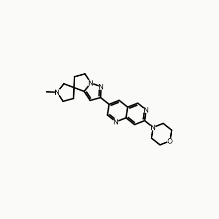 CN1CCC2(CCn3nc(-c4cnc5cc(N6CCOCC6)ncc5c4)cc32)C1